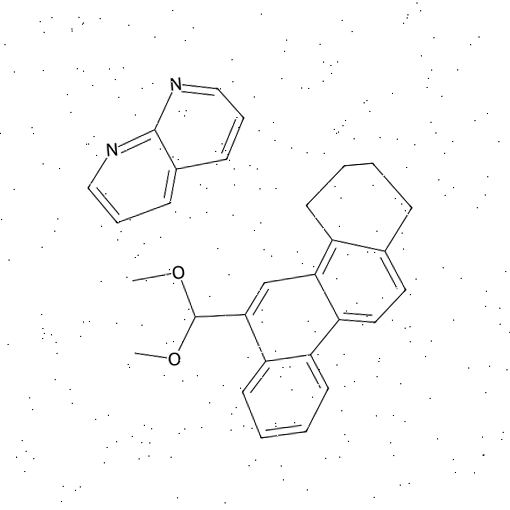 COC(OC)c1cc2c3c(ccc2c2ccccc12)CCCC3.c1cnc2ncccc2c1